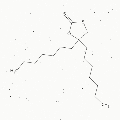 CCCCCCCC1(CCCCCCC)CSC(=S)O1